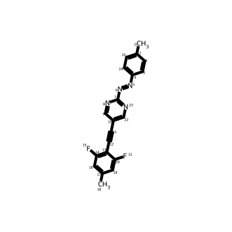 Cc1ccc(N=Nc2ncc(C#Cc3c(F)cc(C)cc3F)cn2)cc1